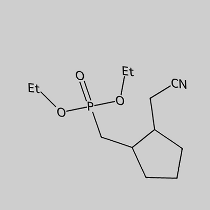 CCOP(=O)(CC1CCCC1CC#N)OCC